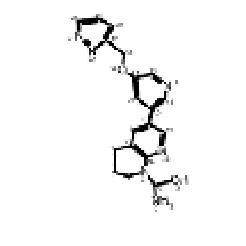 NC(O)N1CCCc2cc(-c3cncc(OCc4cccnn4)c3)cnc21